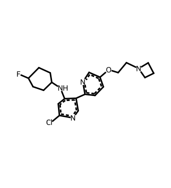 FC1CCC(Nc2cc(Cl)ncc2-c2ccc(OCCN3CCC3)cn2)CC1